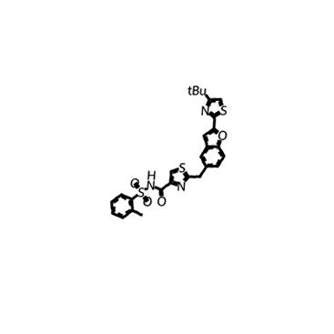 Cc1ccccc1S(=O)(=O)NC(=O)c1csc(Cc2ccc3oc(-c4nc(C(C)(C)C)cs4)cc3c2)n1